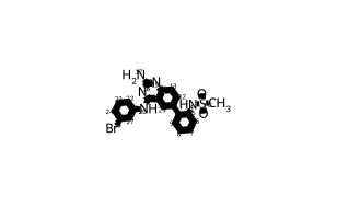 CS(=O)(=O)Nc1ccccc1-c1ccc2nc(N)nc(Nc3cccc(Br)c3)c2c1